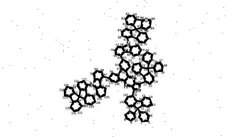 c1ccc(C2(c3ccccc3)c3ccccc3-c3c(-c4sc(-c5cccc6c5-c5ccccc5C6(c5ccccc5)c5ccccc5)c5nc6c7ccc(-c8cccc9c8c8ccccc8n9-c8cccc9c8-c8ccccc8C98c9ccccc9-c9ccccc98)cc7c7cc(-c8cccc9c8c8ccccc8n9-c8cccc9c8-c8ccccc8C98c9ccccc9-c9ccccc98)ccc7c6nc45)cccc32)cc1